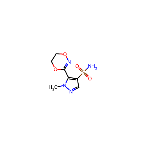 Cn1ncc(S(N)(=O)=O)c1C1=NOCCO1